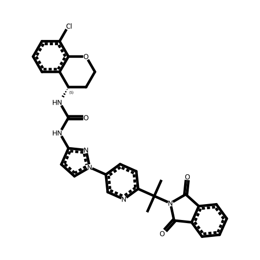 CC(C)(c1ccc(-n2ccc(NC(=O)N[C@H]3CCOc4c(Cl)cccc43)n2)cn1)N1C(=O)c2ccccc2C1=O